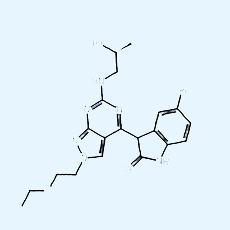 CCOCCn1cc2c(C3C(=O)Nc4ccc(Br)cc43)nc(NC[C@H](C)O)nc2n1